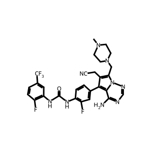 CN1CCN(Cc2c(CC#N)c(-c3ccc(NC(=O)Nc4cc(C(F)(F)F)ccc4F)c(F)c3)c3c(N)ncnn23)CC1